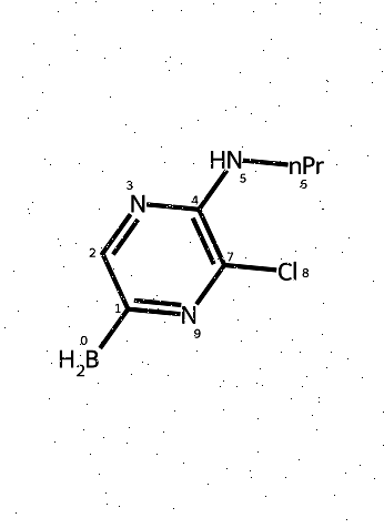 Bc1cnc(NCCC)c(Cl)n1